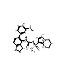 COc1cc(-c2ccc3c(c2NC(=O)N=[S@](N)(=O)c2cnn4c2OCCC4)CCC3)ccn1